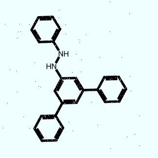 c1ccc(NNc2cc(-c3ccccc3)cc(-c3ccccc3)c2)cc1